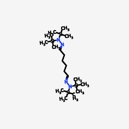 C[Si](C)(C)N(/N=C/CCCC/C=N/N([Si](C)(C)C)[Si](C)(C)C)[Si](C)(C)C